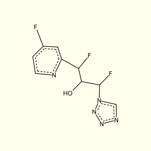 OC(C(F)c1cc(F)ccn1)C(F)n1cnnn1